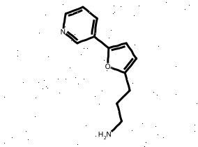 NCCCc1ccc(-c2cccnc2)o1